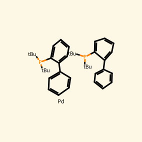 CC(C)(C)P(c1ccccc1-c1ccccc1)C(C)(C)C.CC(C)(C)P(c1ccccc1-c1ccccc1)C(C)(C)C.[Pd]